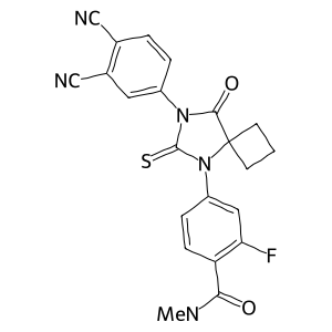 CNC(=O)c1ccc(N2C(=S)N(c3ccc(C#N)c(C#N)c3)C(=O)C23CCC3)cc1F